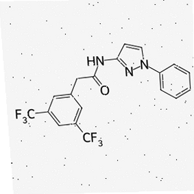 O=C(Cc1cc(C(F)(F)F)cc(C(F)(F)F)c1)Nc1ccn(-c2ccccc2)n1